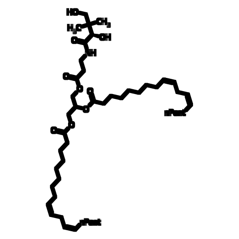 CCCCC/C=C\C/C=C\CCCCCCCC(=O)OCC(COC(=O)CCNC(=O)[C@H](O)C(C)(C)CO)OC(=O)CCCCCCC/C=C\C/C=C\CCCCC